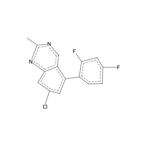 Cc1ncc2c(-c3ccc(F)cc3F)cc(Cl)cc2n1